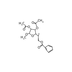 COC1O[C@@]2(C[C@H]2COC(=O)c2ccccc2)C(OC(C)=O)C1OC(C)=O